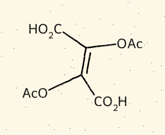 CC(=O)OC(C(=O)O)=C(OC(C)=O)C(=O)O